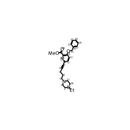 CCN1CCN(CCCC#Cc2ccc(OCc3ccccc3)c(C(=O)OC)n2)CC1